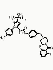 Cc1ccc(-n2nc(C(C)(C)C)cc2NC(=O)Nc2ccc(CN3CCN(C(=O)c4c(F)cccc4F)CC3)cc2)cc1